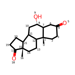 C[C@]12CCC(=O)CC1[C@@H](O)CC1C2CC[C@]2(C)C(=O)CCC12